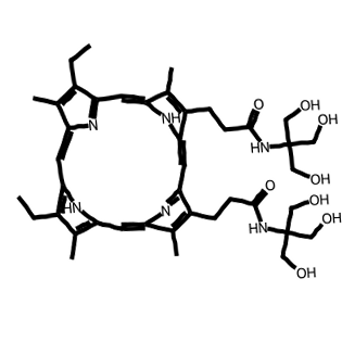 CCC1=C(C)c2cc3[nH]c(cc4nc(cc5[nH]c(cc1n2)c(C)c5CCC(=O)NC(CO)(CO)CO)C(CCC(=O)NC(CO)(CO)CO)=C4C)c(C)c3CC